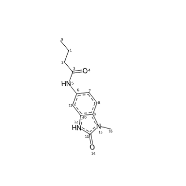 CCCC(=O)Nc1ccc2c(c1)[nH]c(=O)n2C